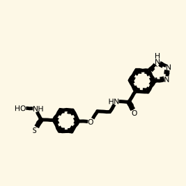 O=C(NCCOc1ccc(C(=S)NO)cc1)c1ccc2[nH]nnc2c1